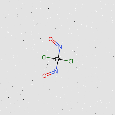 O=[N][Fe]([Cl])([Cl])[N]=O